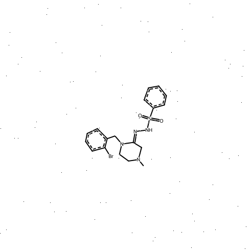 CN1CCN(Cc2ccccc2Br)C(=NNS(=O)(=O)c2ccccc2)C1